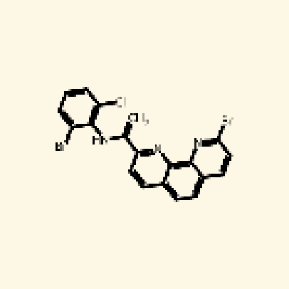 C=C(Nc1c(Cl)cccc1Br)c1ccc2ccc3ccc(Br)nc3c2n1